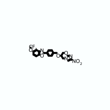 O=[N+]([O-])c1cn2c(n1)OCC(OCc1ccc(-c3nc4cc(OC(F)(F)F)ccc4o3)cc1)C2